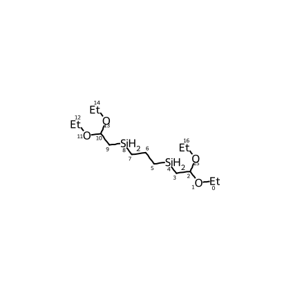 CCOC(C[SiH2]CCC[SiH2]CC(OCC)OCC)OCC